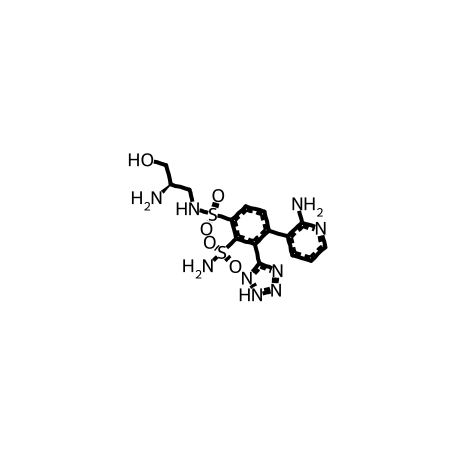 Nc1ncccc1-c1ccc(S(=O)(=O)NC[C@@H](N)CO)c(S(N)(=O)=O)c1-c1nn[nH]n1